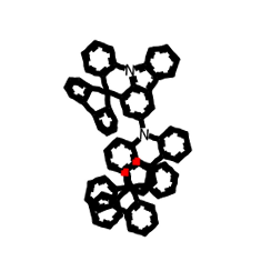 c1ccc(-c2ccc(-c3ccccc3N(c3cc4c5c(c3)c3ccccc3n5-c3ccccc3C43c4ccccc4-c4ccccc43)c3cccc4c3-c3ccccc3C43c4ccccc4-c4ccccc43)cc2)cc1